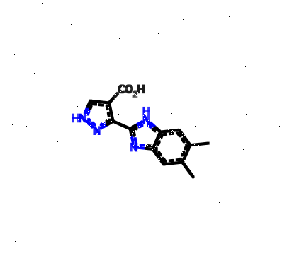 Cc1cc2nc(-c3n[nH]cc3C(=O)O)[nH]c2cc1C